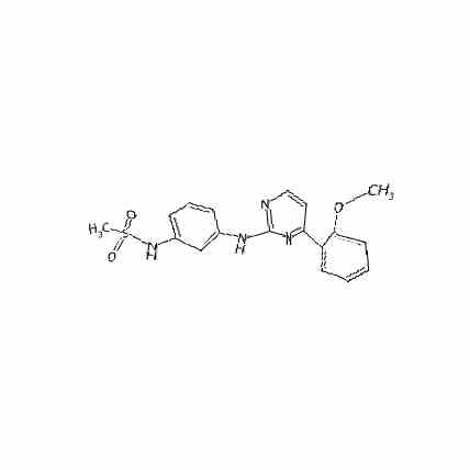 COc1ccccc1-c1ccnc(Nc2cccc(NS(C)(=O)=O)c2)n1